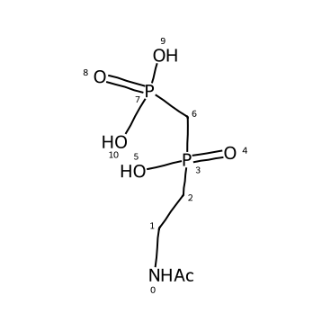 CC(=O)NCCP(=O)(O)CP(=O)(O)O